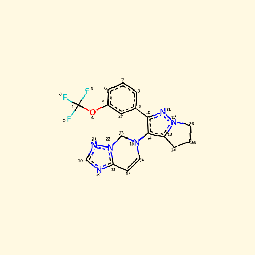 FC(F)(F)Oc1cccc(-c2nn3c(c2N2C=Cc4ncnn4C2)CCC3)c1